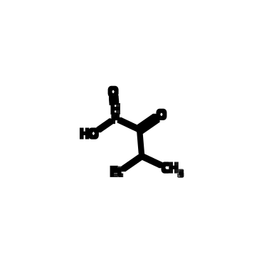 CCC(C)C(=O)[PH](=O)O